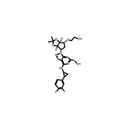 CCCSc1nc(NC2CC2c2ccc(F)c(F)c2)c2nnn([C@@H]3C[C@H](OCCO)[C@H]4OC(C)(C)O[C@H]43)c2n1